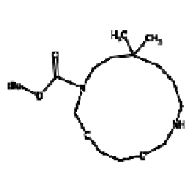 CC1(C)CCCNCCCCCCN(C(=O)OC(C)(C)C)CC1